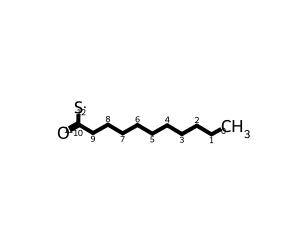 CCCCCCCCCCC(=O)[S]